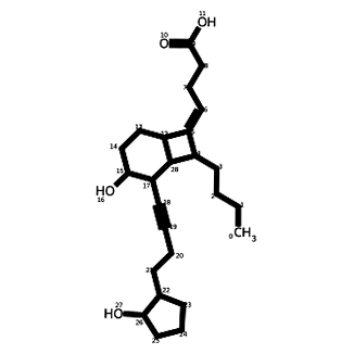 CCCCC1/C(=C/CCC(=O)O)C2CCC(O)C(C#CCCC3CCCC3O)C12